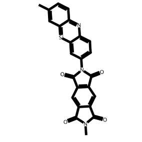 Cc1ccc2nc3ccc(-n4c(=O)c5cc6c(=O)n(C)c(=O)c6cc5c4=O)cc3[s+]c2c1